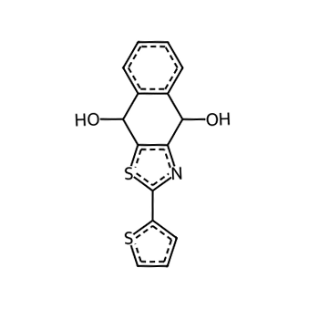 OC1c2ccccc2C(O)c2sc(-c3cccs3)nc21